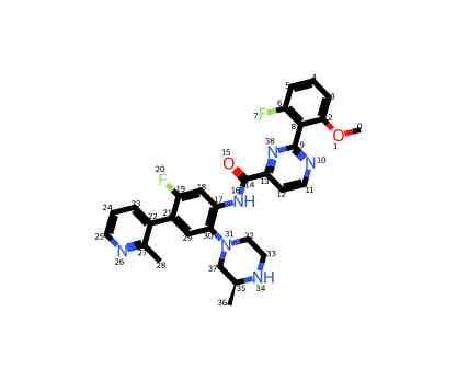 COc1cccc(F)c1-c1nccc(C(=O)Nc2cc(F)c(-c3cccnc3C)cc2N2CCN[C@@H](C)C2)n1